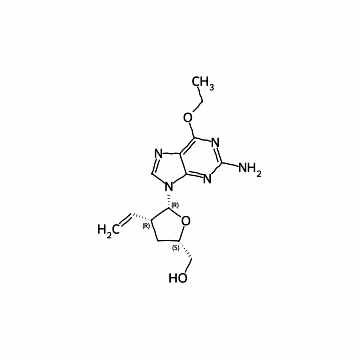 C=C[C@H]1C[C@@H](CO)O[C@H]1n1cnc2c(OCC)nc(N)nc21